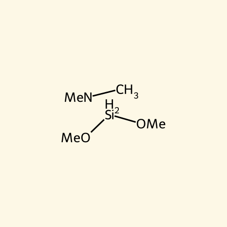 CNC.CO[SiH2]OC